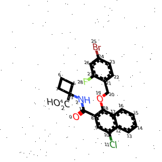 O=C(NC1(C(=O)O)CCC1)c1cc(Cl)c2ccccc2c1OCc1ccc(Br)cc1F